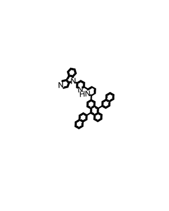 C1=CC(c2ccc3c(-c4ccc5ccccc5c4)c4ccccc4c(-c4ccc5ccccc5c4)c3c2)NC(c2ccc(-n3c4ccccc4c4cnccc43)cn2)=C1